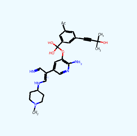 CC(=O)c1cc(C#CC(C)(C)O)cc(C(O)(O)Oc2cc(/C(C=N)=C/NC3CCN(C)CC3)cnc2N)c1